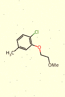 COCCOc1cc(C)ccc1Cl